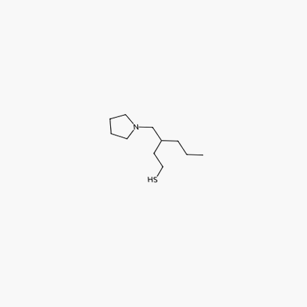 CCCC(CCS)CN1CCCC1